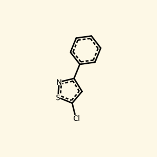 Clc1cc(-c2ccccc2)ns1